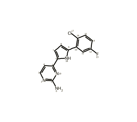 Nc1nccc(-c2ccc(-c3cc(F)ccc3Cl)[nH]2)n1